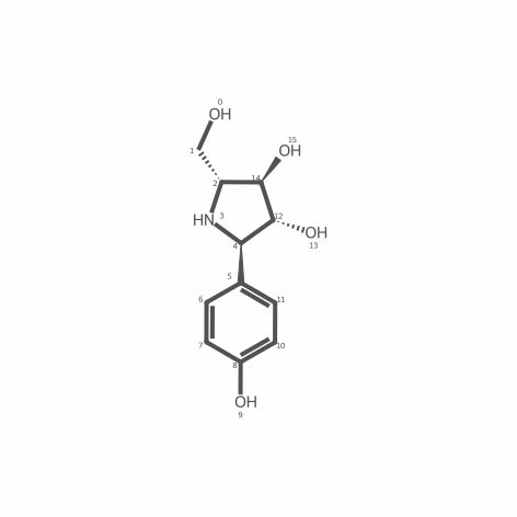 OC[C@H]1N[C@H](c2ccc(O)cc2)[C@@H](O)[C@@H]1O